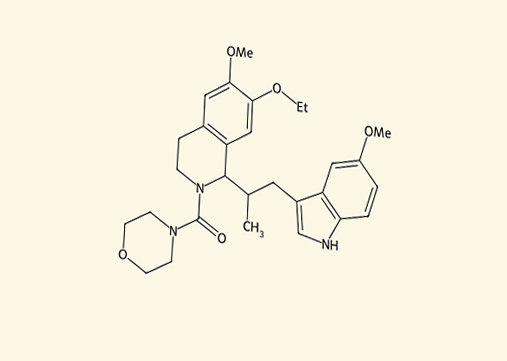 CCOc1cc2c(cc1OC)CCN(C(=O)N1CCOCC1)C2C(C)Cc1c[nH]c2ccc(OC)cc12